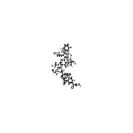 CNC(C(=O)NC(C(=O)N(C)C(C=C(C)C(=O)NS(=O)(=O)c1ccc(C(N)=O)cc1[N+](=O)[O-])C(C)C)C(C)(C)C)C(C)(C)c1ccccc1